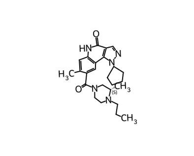 CCCN1CCN(C(=O)c2cc3c(cc2C)[nH]c(=O)c2cnn(C4CCCC4)c23)C[C@@H]1C